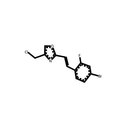 Fc1cc(Br)ccc1C=Cc1nc(CCl)co1